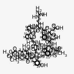 CC(=O)N[C@@H](C)C(=O)NCC(=O)N[C@@H](CO)C(=O)N[C@@H](CS)C(=O)N[C@@H](Cc1ccc(O)cc1)C(=O)N[C@@H](CS)C(=O)N[C@@H](CO)C(=O)NCC(=O)N1CCC[C@H]1C(=O)N1CCC[C@H]1C(=O)N[C@@H](CCCNC(=N)N)C(=O)N[C@@H](Cc1ccccc1)C(=O)N[C@@H](CCC(=O)O)C(=O)N[C@@H](CS)C(=O)N[C@@H](Cc1c[nH]c2ccccc12)C(=O)N[C@@H](CS)C(C)=O